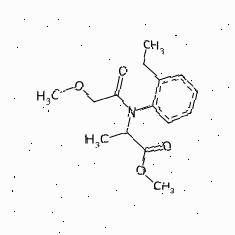 CCc1ccccc1N(C(=O)COC)C(C)C(=O)OC